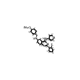 COc1ccc(CNc2ccc3nc(-c4ccccc4F)nc(Nc4ccncc4)c3c2)cc1